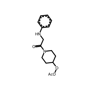 CC(=O)OOC1CCN(C(=O)CNc2ccccc2)CC1